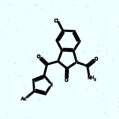 CC(=O)c1csc(C(=O)C2C(=O)N(C(N)=O)c3ccc(Cl)cc32)c1